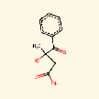 CC(O)(CC(=O)O)C(=O)c1ccccc1